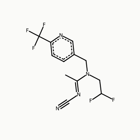 C/C(=N\C#N)N(Cc1ccc(C(F)(F)F)nc1)CC(F)F